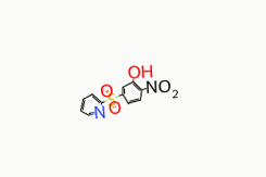 O=[N+]([O-])c1ccc(S(=O)(=O)c2ccccn2)cc1O